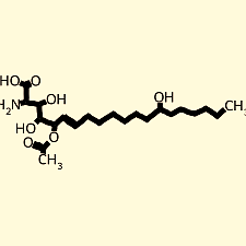 CCCCCCC(O)CCCCCC/C=C/C(OC(C)=O)C(O)C(O)C(N)C(=O)O